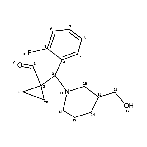 O=CC1(C(c2ccccc2F)N2CCCC(CO)C2)CC1